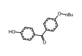 CCCCOc1ccc(C(=O)c2ccc(O)cc2)cc1